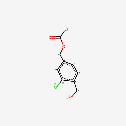 CC(=O)OCc1ccc(CO)c(Cl)c1